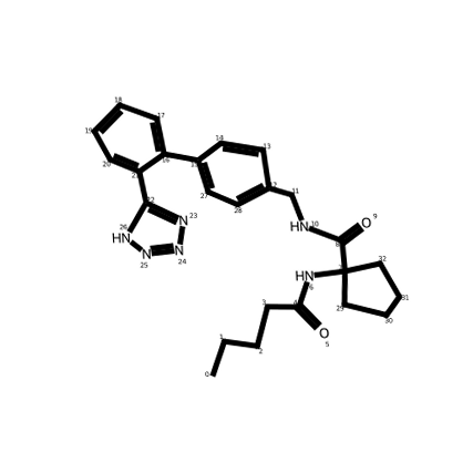 CCCCC(=O)NC1(C(=O)NCc2ccc(-c3ccccc3-c3nnn[nH]3)cc2)CCCC1